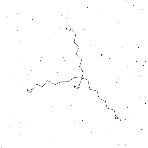 CCCCCCCC[N+](C)(CCCCCCCC)CCCCCCCC.[I-]